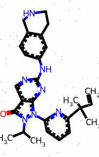 C=CC(C)(C)c1cccc(-n2c3nc(Nc4ccc5c(c4)CCNC5)ncc3c(=O)n2C(C)C)n1